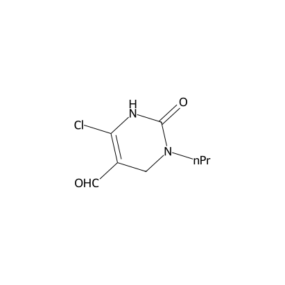 CCCN1CC(C=O)=C(Cl)NC1=O